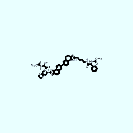 COC(=O)N[C@H](C(=O)N1CC2(C[C@H]1c1nc3ccc4cc(-c5ccc6c(c5)CCc5nc(CCCCNC(=O)[C@H](NC(=O)OC)c7ccccc7)[nH]c5-6)ccc4c3[nH]1)OCCO2)C(C)C